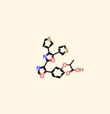 CC(Oc1cccc(-c2ocnc2-c2nc(-c3ccsc3)c(-c3ccsc3)o2)c1)C(=O)O